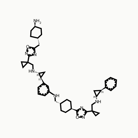 N[C@H]1CC[C@H](Cc2nc(C3(CN[C@@H]4C[C@H]4c4cccc(NC[C@H]5CC[C@H](c6nc(C7(CN[C@@H]8C[C@H]8c8ccccc8)CC7)no6)CC5)c4)CC3)no2)CC1